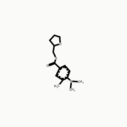 Cc1cc(C(=O)OCC2CCCO2)ccc1N(C)C